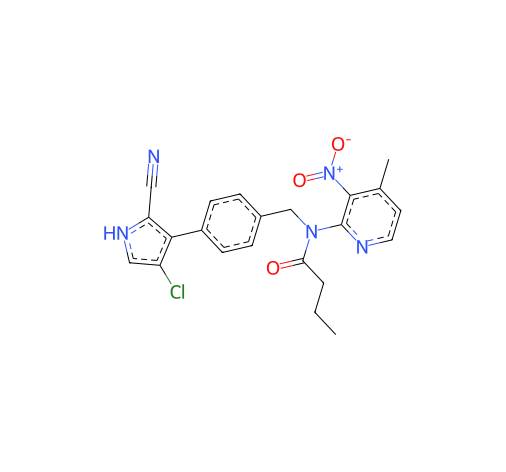 CCCC(=O)N(Cc1ccc(-c2c(Cl)c[nH]c2C#N)cc1)c1nccc(C)c1[N+](=O)[O-]